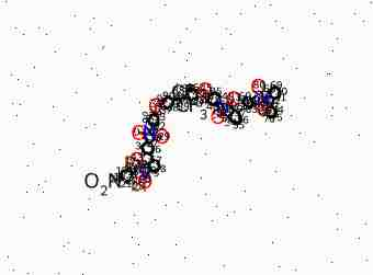 O=C1c2ccc(-c3cccc4c3C(=O)N(c3c(Br)cc([N+](=O)[O-])cc3Br)C4=O)cc2C(=O)N1c1ccc(Oc2ccc(C(c3ccc(Oc4ccc(N5C(=O)c6cccc(-c7ccc8c(c7)C(=O)N(c7ccccc7-c7ccccc7)C8=O)c6C5=O)cc4)cc3)(C(F)(F)F)C(F)(F)F)cc2)cc1